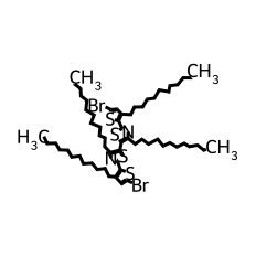 CCCCCCCCCCCCc1cc(Br)sc1-c1nc(CCCCCCCCCCCC)c(-c2sc(-c3sc(Br)cc3CCCCCCCCCCCC)nc2CCCCCCCCCCCC)s1